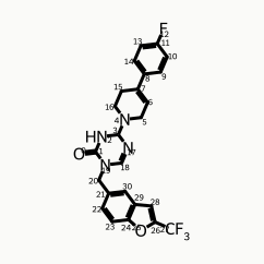 O=C1NC(N2CC=C(c3ccc(F)cc3)CC2)N=CN1Cc1ccc2oc(C(F)(F)F)cc2c1